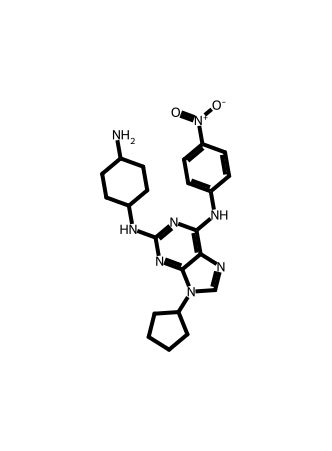 NC1CCC(Nc2nc(Nc3ccc([N+](=O)[O-])cc3)c3ncn(C4CCCC4)c3n2)CC1